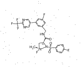 C[C@@]1(F)C[C@@H](C(=O)NCc2cc(F)cc(-c3cnc(C(F)(F)F)nc3)c2)N(S(=O)(=O)c2ccc(F)cc2)C1